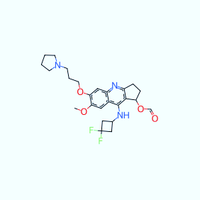 COc1cc2c(NC3CC(F)(F)C3)c3c(nc2cc1OCCCN1CCCC1)CCC3OC=O